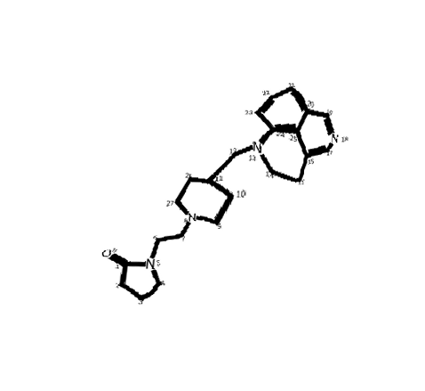 O=C1CCCN1CCN1CCC(CN2CCc3cncc4cccc2c34)CC1